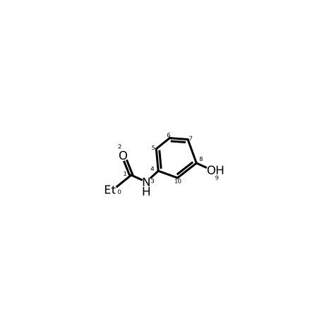 CCC(=O)Nc1cccc(O)c1